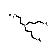 NCCCN(CCCN)CCC(=O)O